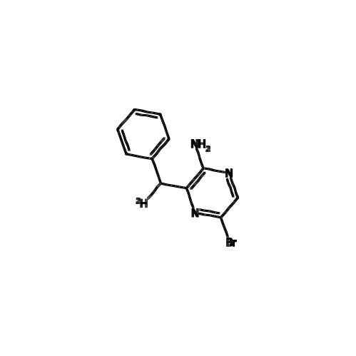 [2H]C(c1ccccc1)c1nc(Br)cnc1N